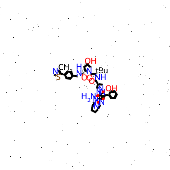 Cc1ncsc1-c1ccc(CNC(=O)[C@@H]2C[C@@H](O)CN2C(=O)[C@@H](NC(=O)C2CN(Cc3cnc(N4C5CCC4CN(c4cc(-c6ccccc6O)nnc4N)C5)nc3)C2)C(C)(C)C)cc1